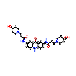 O=C(CCN1CCC(O)CC1)Nc1ccc2[nH]c3ccc(NC(=O)CCN4CCC(O)CC4)cc3c(=O)c2c1